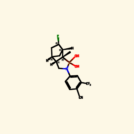 C[C@]12[C@H](CN(c3ccc(C#N)c(C(F)(F)F)c3)S1(O)O)[C@@H]1C[C@@H](F)[C@H]2C1